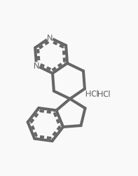 Cl.Cl.c1ccc2c(c1)CCC21CCc2cncnc2C1